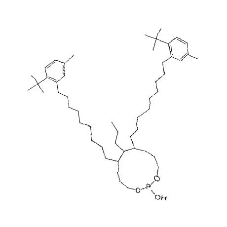 CCCC1C(CCCCCCCCCc2cc(C)ccc2C(C)(C)C)CCCOP(O)OCCCC1CCCCCCCCCc1cc(C)ccc1C(C)(C)C